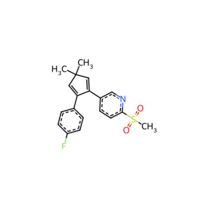 CC1(C)C=C(c2ccc(F)cc2)C(c2ccc(S(C)(=O)=O)nc2)=C1